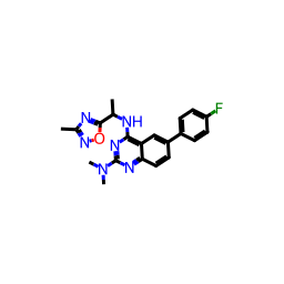 Cc1noc(C(C)Nc2nc(N(C)C)nc3ccc(-c4ccc(F)cc4)cc23)n1